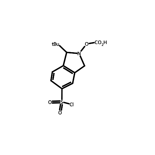 CC(C)(C)C1c2ccc(S(=O)(=O)Cl)cc2CN1OC(=O)O